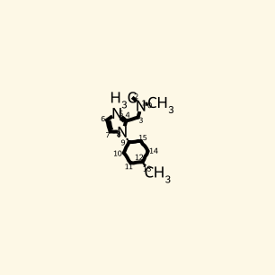 CN(C)Cc1nccn1[C@H]1CC[C@H](C)CC1